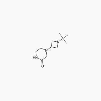 CC(C)(C)N1CC(N2CCNC(=O)C2)C1